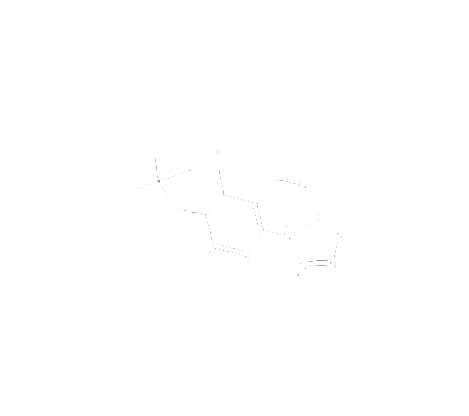 NCc1c(-n2cnnn2)ccc(OC(F)(F)F)c1F